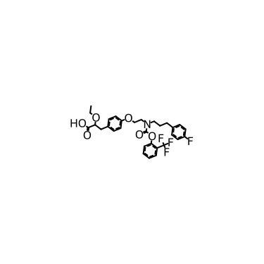 CCOC(Cc1ccc(OCCN(CCCc2ccc(F)cc2)C(=O)Oc2ccccc2C(F)(F)F)cc1)C(=O)O